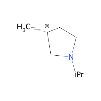 CC(C)N1CC[C@@H](C)C1